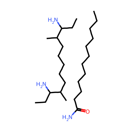 CCC(N)C(C)CCCCCC(C)C(N)CC.CCCCCCCCCCCC(N)=O